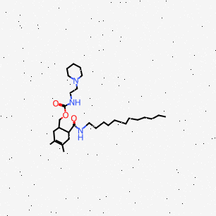 CCCCCCCCCCCCNC(=O)C1CC(C)=C(C)CC1COC(=O)NCCN1CCCCC1